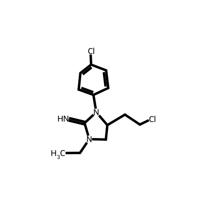 CCN1CC(CCCl)N(c2ccc(Cl)cc2)C1=N